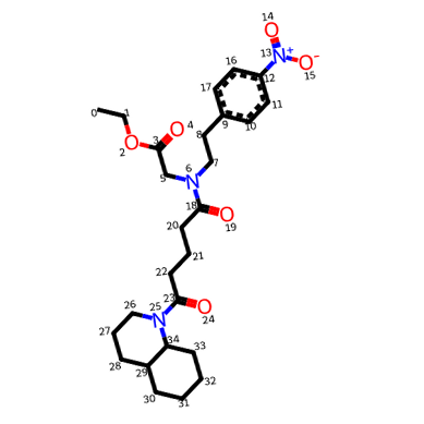 CCOC(=O)CN(CCc1ccc([N+](=O)[O-])cc1)C(=O)CCCC(=O)N1CCCC2CCCCC21